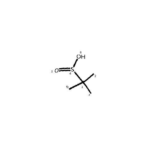 CC(C)(C)S(=O)O